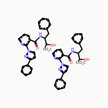 CCOC(=O)C(O)C(Cc1ccccc1)NC(=O)c1cccnc1-n1ccc(-c2ccccc2)n1.O=C(NC(Cc1ccccc1)C(O)C(=O)O)c1cccnc1-n1ccc(-c2ccccc2)n1